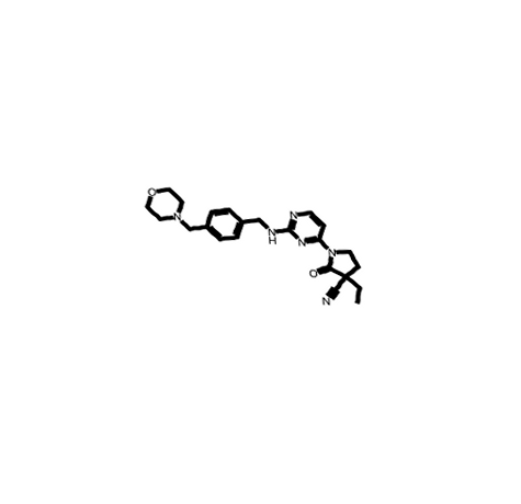 CCC1(C#N)CCN(c2ccnc(NCc3ccc(CN4CCOCC4)cc3)n2)C1=O